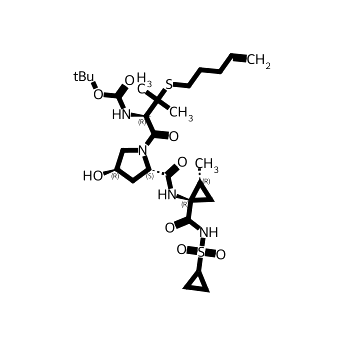 C=CCCCSC(C)(C)[C@H](NC(=O)OC(C)(C)C)C(=O)N1C[C@H](O)C[C@H]1C(=O)N[C@]1(C(=O)NS(=O)(=O)C2CC2)C[C@H]1C